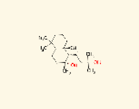 CC(C)(O)CC[C@@H]1[C@@]2(C)CCCC(C)(C)C2CC[C@@]1(C)O